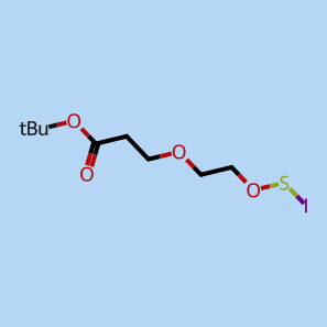 CC(C)(C)OC(=O)CCOCCOSI